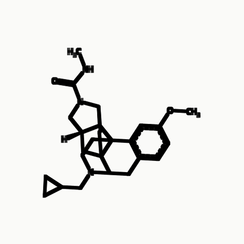 CNC(=O)N1C[C@H]2CC34CCC1C2C31CCN(CC2CC2)C4Cc2ccc(OC)cc21